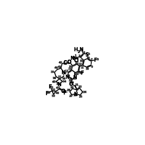 N#Cc1c(N)sc2c(F)ccc(-c3c(Cl)c4c5c(nc(OC[C@@]67CCCN6C[C@H](F)C7)nc5c3F)N3CC5(CCCC3CCO4)CN(C(=O)C3CC3(F)F)C5)c12